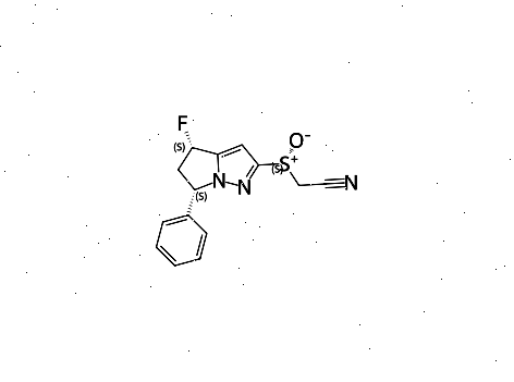 N#CC[S@@+]([O-])c1cc2n(n1)[C@H](c1ccccc1)C[C@@H]2F